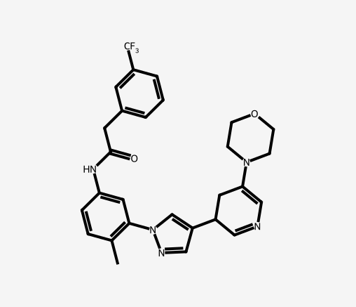 Cc1ccc(NC(=O)Cc2cccc(C(F)(F)F)c2)cc1-n1cc(C2C=NC=C(N3CCOCC3)C2)cn1